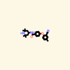 Cc1ccc(Oc2ccc(C(=O)NC3CC(C)(C)NC(C)(C)C3)cc2)c(C#N)c1